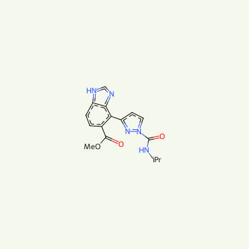 COC(=O)c1ccc2[nH]cnc2c1-c1ccn(C(=O)NC(C)C)n1